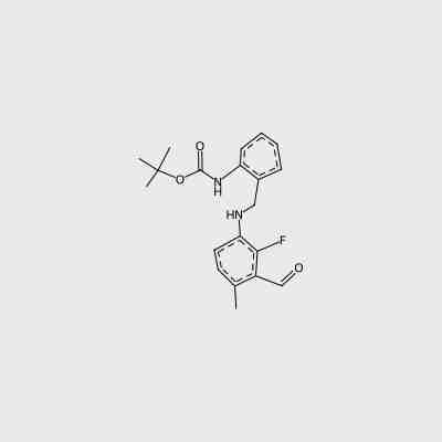 Cc1ccc(NCc2ccccc2NC(=O)OC(C)(C)C)c(F)c1C=O